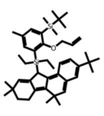 C=CCOc1c([Si](CC)(CC)C2C3=CC(C)(C)CCC3=C3C2=c2ccc(C(C)(C)C)cc2=CC3(C)C)cc(C)cc1[Si](C)(C)C(C)(C)C